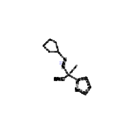 COC(C)(/N=N/C1CCCC1)c1cccs1